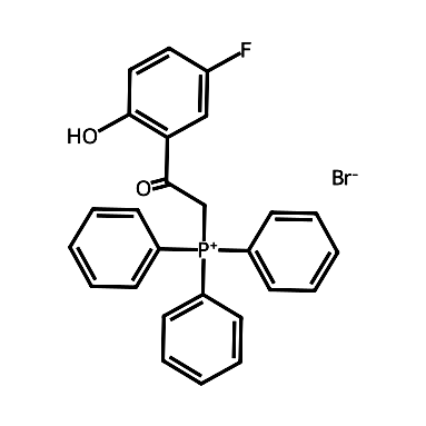 O=C(C[P+](c1ccccc1)(c1ccccc1)c1ccccc1)c1cc(F)ccc1O.[Br-]